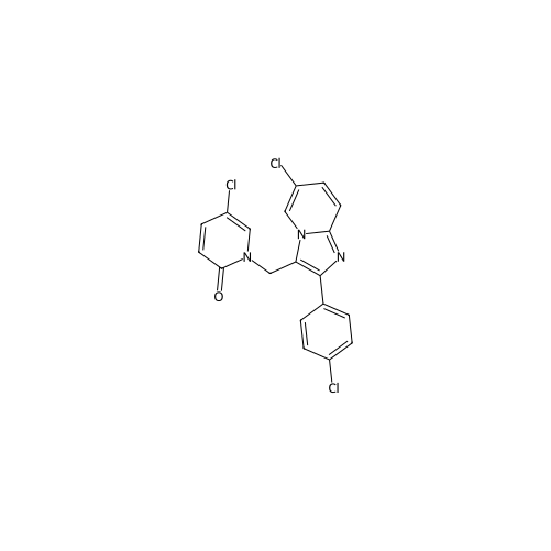 O=c1ccc(Cl)cn1Cc1c(-c2ccc(Cl)cc2)nc2ccc(Cl)cn12